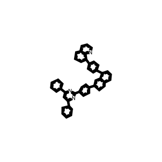 c1ccc(-c2cc(-c3ccccc3)nc(-c3ccc(-c4ccc5cccc(-c6ccc(-c7cccc8cccnc78)cc6)c5c4)cc3)n2)cc1